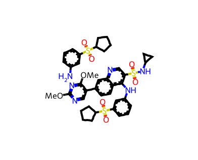 COc1ncc(-c2ccc3c(Nc4cccc(S(=O)(=O)C5CCCC5)c4)c(S(=O)(=O)NC4CC4)cnc3c2)c(OC)n1.Nc1cccc(S(=O)(=O)C2CCCC2)c1